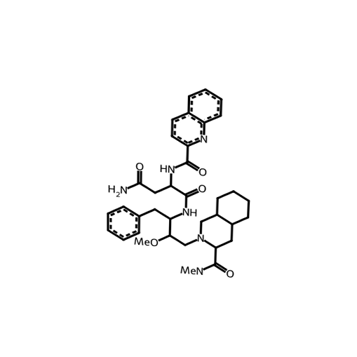 CNC(=O)C1CC2CCCCC2CN1CC(OC)C(Cc1ccccc1)NC(=O)C(CC(N)=O)NC(=O)c1ccc2ccccc2n1